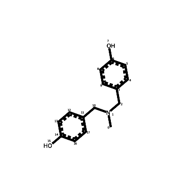 CN(Cc1ccc(O)cc1)Cc1ccc(O)cc1